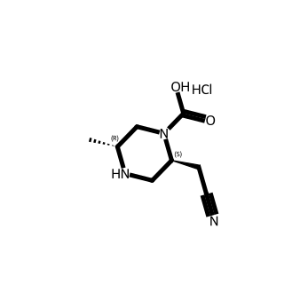 C[C@@H]1CN(C(=O)O)[C@@H](CC#N)CN1.Cl